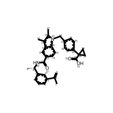 C=C(C)c1cccc([C@H](C)NC(=O)c2ccc3c(c2)c(C)c(C)n3Cc2ccc(C3(C(=O)O)CC3)cc2)c1